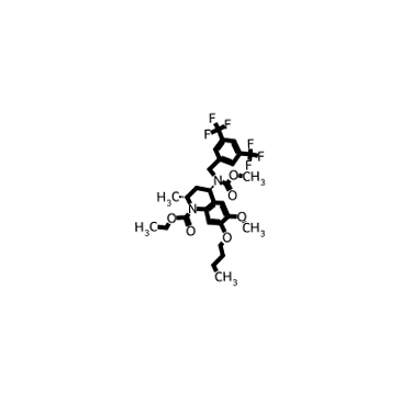 CCCCOc1cc2c(cc1OC)[C@@H](N(Cc1cc(C(F)(F)F)cc(C(F)(F)F)c1)C(=O)OC)C[C@@H](C)N2C(=O)OCC